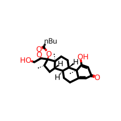 CCCCC(=O)O[C@]1(C(=O)CO)[C@@H](C)C[C@H]2[C@@H]3CCC4=CC(=O)C=C(O)[C@]4(C)[C@H]3CC[C@@]21C